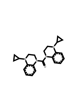 O=C(N1CCN(C2CC2)c2ccccc21)N1CCN(C2CC2)c2ccccc21